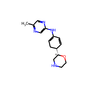 Cc1cnc(NC2=CCC([C@H]3CNCCO3)C=C2)cn1